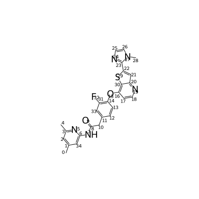 Cc1cc(C)nc(NC(=O)Cc2ccc(Oc3ccnc4cc(-c5nccn5C)sc34)c(F)c2)c1